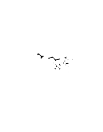 C=CC(=O)OCCC(COP(=O)([O-])O)N[N+](C)(C)C